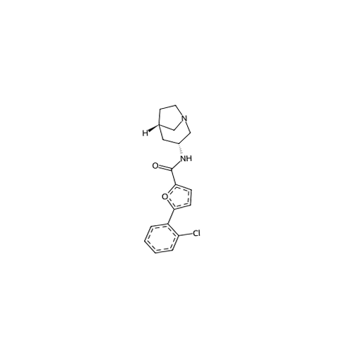 O=C(N[C@@H]1C[C@@H]2CCN(C2)C1)c1ccc(-c2ccccc2Cl)o1